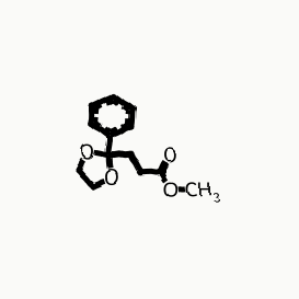 COC(=O)CCC1(c2ccccc2)OCCO1